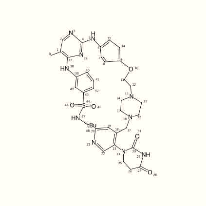 Cc1cnc(Nc2ccc(OCCN3CCN(Cc4ccncc4N4CCC(=O)NC4=O)CC3)cc2)nc1Nc1cccc(S(=O)(=O)NC(C)(C)C)c1